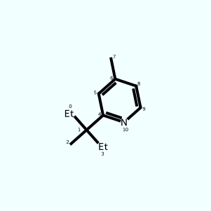 CCC(C)(CC)c1cc(C)ccn1